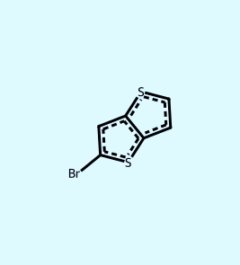 Brc1cc2sccc2s1